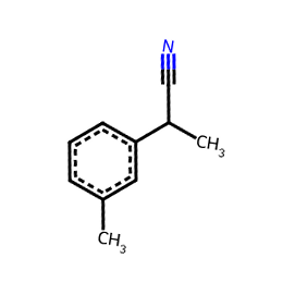 Cc1cccc(C(C)C#N)c1